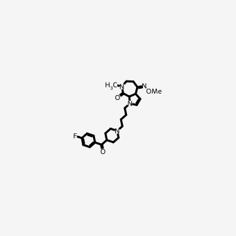 CO/N=C1/CCN(C)C(=O)C2C1C=CN2CCCCN1CCC(C(=O)c2ccc(F)cc2)CC1